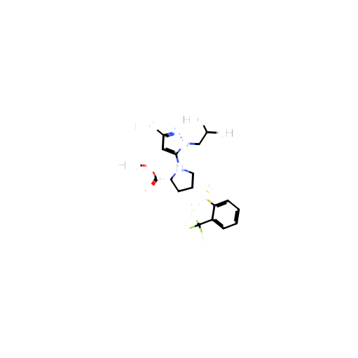 COC(=O)[C@H]1C[C@@H](S(=O)(=O)c2ccccc2C(F)(F)F)CN1c1cc(C)nn1CC(C)C